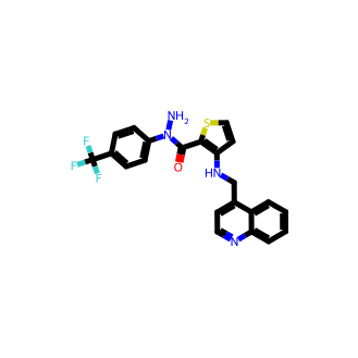 NN(C(=O)c1sccc1NCc1ccnc2ccccc12)c1ccc(C(F)(F)F)cc1